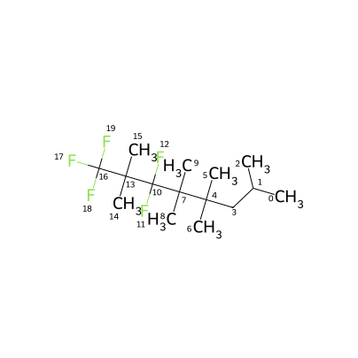 CC(C)CC(C)(C)C(C)(C)C(F)(F)C(C)(C)C(F)(F)F